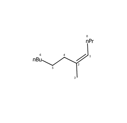 [CH2]CCC=C(C)CCCCC[CH2]